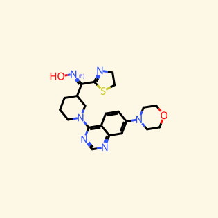 O/N=C(/C1=NCCS1)C1CCCN(c2ncnc3cc(N4CCOCC4)ccc23)C1